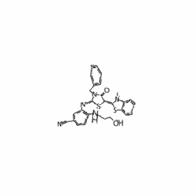 CN1/C(=C2/S/C(=N\c3cc(C#N)ccc3NCCO)N(Cc3ccccc3)C2=O)Sc2ccccc21